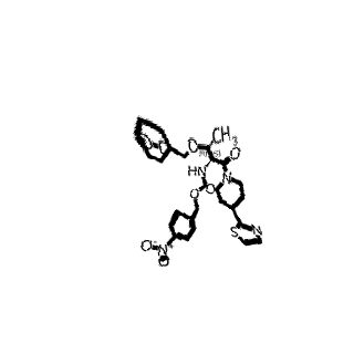 C[C@@H](OCC12CCC(CC1)OC2)[C@H](NC(=O)OCc1ccc([N+](=O)[O-])cc1)C(=O)N1CCC(c2nccs2)CC1